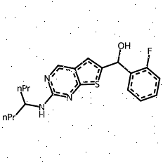 CCCC(CCC)Nc1ncc2cc(C(O)c3ccccc3F)sc2n1